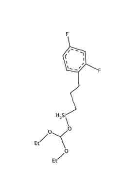 CCOC(OCC)O[SiH2]CCCc1ccc(F)cc1F